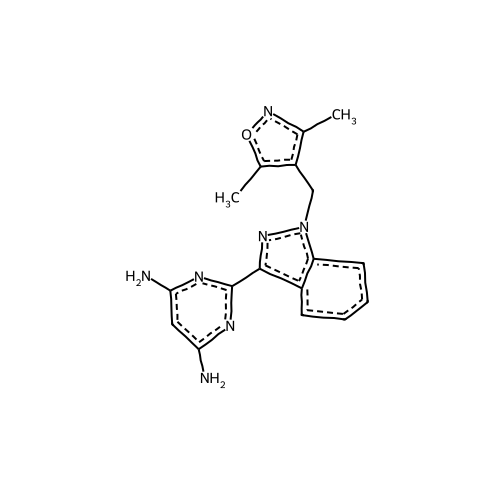 Cc1noc(C)c1Cn1nc(-c2nc(N)cc(N)n2)c2ccccc21